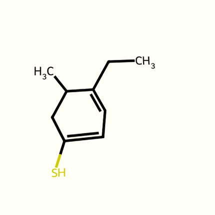 CCC1=CC=C(S)CC1C